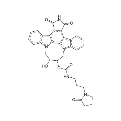 O=C(NCCCN1CCCC1=O)OC1Cn2c3ccccc3c3c4c(c5c6ccccc6n(c5c32)CC1O)C(=O)NC4=O